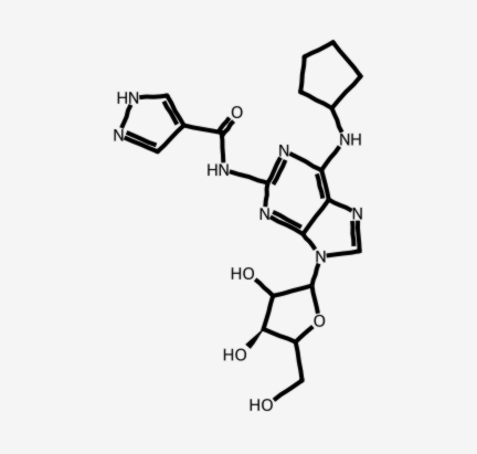 O=C(Nc1nc(NC2CCCC2)c2ncn(C3OC(CO)[C@@H](O)C3O)c2n1)c1cn[nH]c1